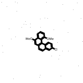 COc1cc2ccc3cc(Cl)ccc3c2c2c(OC)cccc12